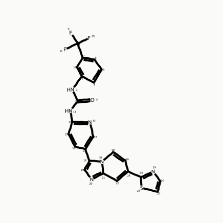 O=C(Nc1cccc(C(F)(F)F)c1)Nc1ccc(-c2cnc3cc(-c4nccs4)ccn23)cn1